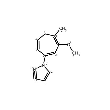 COC1=C(C)CC=CC(n2ccc#[n+]2)=C1